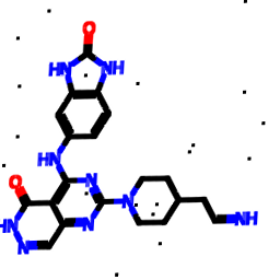 N=CCC1CCN(c2nc(Nc3ccc4[nH]c(=O)[nH]c4c3)c3c(=O)[nH]ncc3n2)CC1